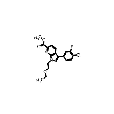 CCOCCn1cc(-c2ccc(Cl)c(F)c2)c2ccc(C(=O)OC)nc21